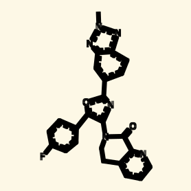 Cn1nc2ccc(-c3nc(N4CCc5cccnc5C4=O)c(-c4ccc(F)cc4)o3)cc2n1